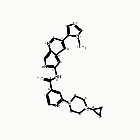 Cn1cncc1-c1cnc2cnc(NC(=O)c3ccnc(N4CCN(C5CC5)CC4)c3)cc2c1